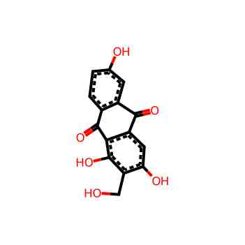 O=C1c2cc(O)ccc2C(=O)c2c1cc(O)c(CO)c2O